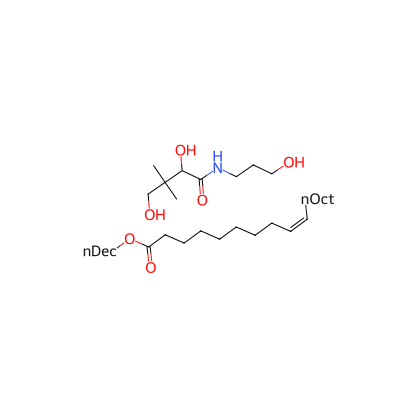 CC(C)(CO)C(O)C(=O)NCCCO.CCCCCCCC/C=C\CCCCCCCC(=O)OCCCCCCCCCC